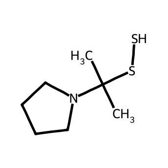 CC(C)(SS)N1CCCC1